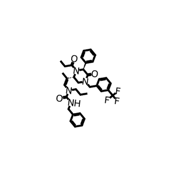 CCCN(/C=C(/C)[C@H]1CN(Cc2cccc(C(F)(F)F)c2)C(=O)[C@H](c2ccccc2)N1C(=O)CC)C(=O)NCc1ccccc1